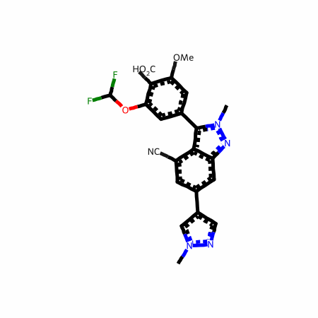 COc1cc(-c2c3c(C#N)cc(-c4cnn(C)c4)cc3nn2C)cc(OC(F)F)c1C(=O)O